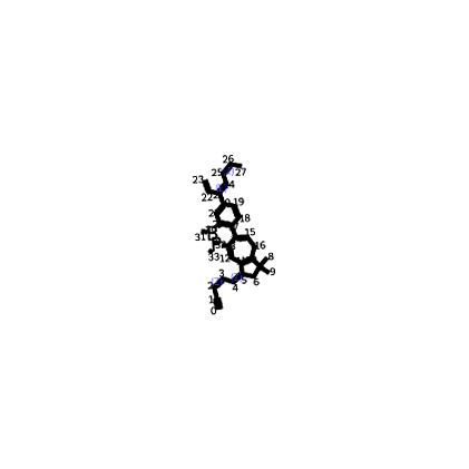 C#C/C=C\C=C1\CC(C)(C)C2=C1C=C1C(=CC2)c2ccc(/C(C=C)=C/C=C\C)cc2B(C)P1C